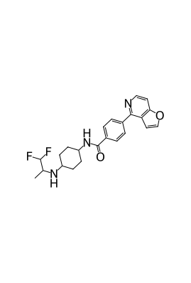 CC(NC1CCC(NC(=O)c2ccc(-c3nccc4occc34)cc2)CC1)C(F)F